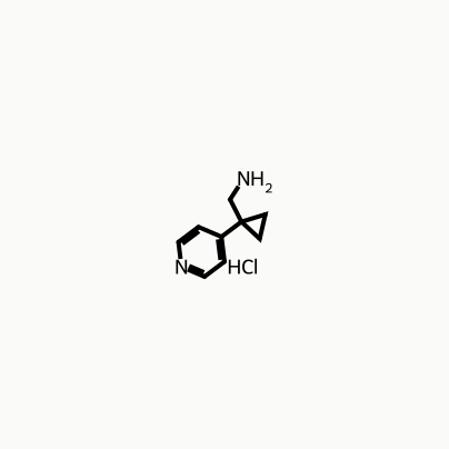 Cl.NCC1(c2ccncc2)CC1